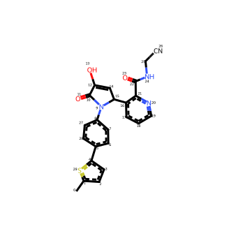 Cc1ccc(-c2ccc(N3C(=O)C(O)=CC3c3cccnc3C(=O)NCC#N)cc2)s1